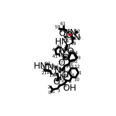 CC(C)CCC(O)C(CC1CCCCC1)NC(=O)[C@H](Cc1c[nH]cn1)N(C)C(=O)C(Cc1ccccc1)OC(=O)N1CCCN1C(=O)[C@H](Cc1c[nH]cn1)NC(=O)OC(C)(C)C